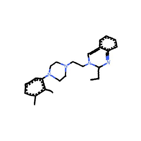 CCC1N=c2ccccc2=CN1CCN1CCN(c2cccc(C)c2C)CC1